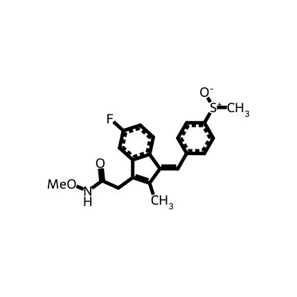 CONC(=O)CC1=C(C)/C(=C/c2ccc([S+](C)[O-])cc2)c2ccc(F)cc21